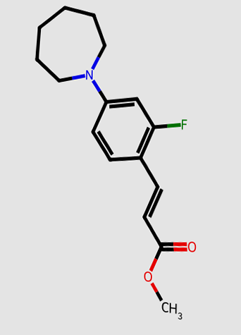 COC(=O)/C=C/c1ccc(N2CCCCCC2)cc1F